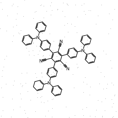 N#Cc1c(-c2ccc(N(C3=CCCC=C3)c3ccccc3)cc2)c(C#N)c(-c2ccc(N(c3ccccc3)c3ccccc3)cc2)c(C#N)c1-c1ccc(N(c2ccccc2)c2ccccc2)cc1